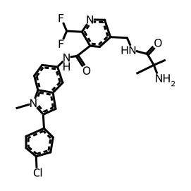 Cn1c(-c2ccc(Cl)cc2)cc2cc(NC(=O)c3cc(CNC(=O)C(C)(C)N)cnc3C(F)F)ccc21